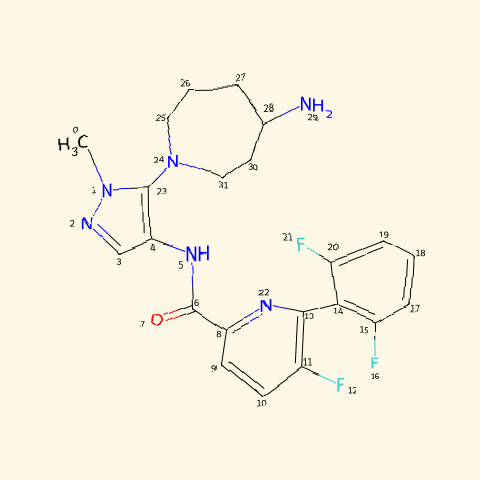 Cn1ncc(NC(=O)c2ccc(F)c(-c3c(F)cccc3F)n2)c1N1CCCC(N)CC1